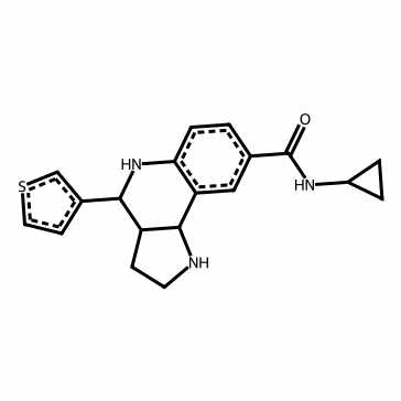 O=C(NC1CC1)c1ccc2c(c1)C1NCCC1C(c1ccsc1)N2